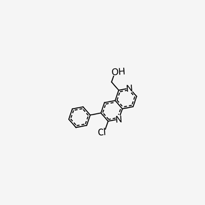 OCc1nccc2nc(Cl)c(-c3ccccc3)cc12